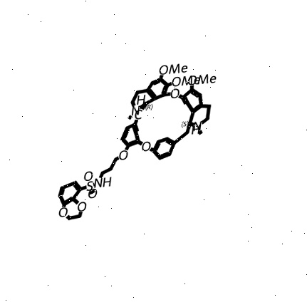 COc1cc2c3cc1Oc1c(OC)c(OC)cc4c1[C@@H](Cc1ccc(OCCCNS(=O)(=O)c5cccc6c5OCCO6)c(c1)Oc1ccc(cc1)C[C@@H]3N(C)CC2)N(C)CC4